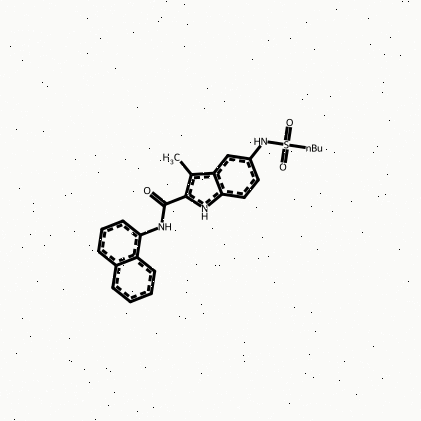 CCCCS(=O)(=O)Nc1ccc2[nH]c(C(=O)Nc3cccc4ccccc34)c(C)c2c1